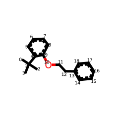 CC(C)(C)c1ccccc1OCCc1ccccc1